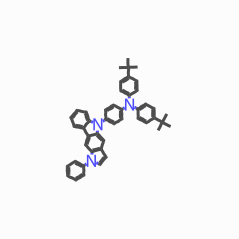 CC(C)(C)c1ccc(N(c2ccc(-n3c4ccccc4c4cc5c(ccn5-c5ccccc5)cc43)cc2)c2ccc(C(C)(C)C)cc2)cc1